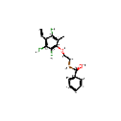 C=Cc1c(F)c(C)c(OCCSC(=O)c2ccccc2)c(F)c1F